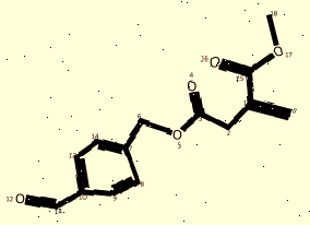 C=C(CC(=O)OCc1ccc(C=O)cc1)C(=O)OC